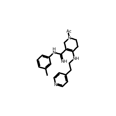 CC(=O)N1CCC(NCCc2ccncc2)=C(C(=N)Nc2cccc(C)c2)C1